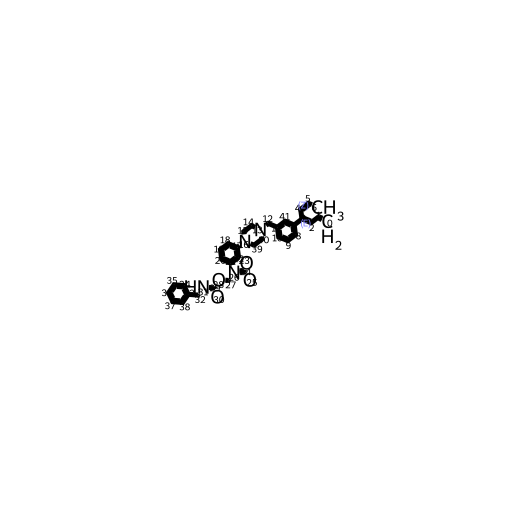 C=C/C=C(\C=C/C)c1cccc(CN2CCN(c3cccc4c3oc(=O)n4COC(=O)NCc3ccccc3)CC2)c1